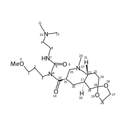 COCCCN(C(=O)NCCN(C)C)C(=O)[C@@H]1C[C@@H]2CC3(CC[C@H]2N(C)C1)OCCO3